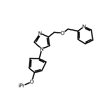 CC(C)Oc1ccc(-n2cnc(COCc3ccccn3)c2)cc1